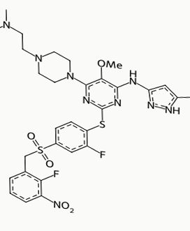 COc1c(Nc2cc(C)[nH]n2)nc(Sc2ccc(S(=O)(=O)Cc3cccc([N+](=O)[O-])c3F)cc2F)nc1N1CCN(CCN(C)C)CC1